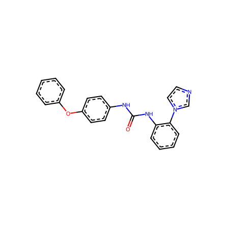 O=C(Nc1ccc(Oc2ccccc2)cc1)Nc1ccccc1-n1ccnc1